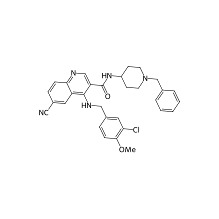 COc1ccc(CNc2c(C(=O)NC3CCN(Cc4ccccc4)CC3)cnc3ccc(C#N)cc23)cc1Cl